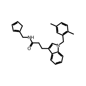 Cc1ccc(C)c(Cn2cc(CCC(=O)NCC3=CC=CC3)c3ccccc32)c1